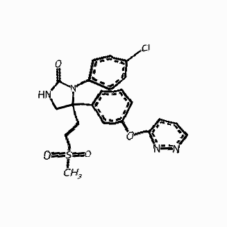 CS(=O)(=O)CCC1(c2cccc(Oc3cccnn3)c2)CNC(=O)N1c1ccc(Cl)cc1